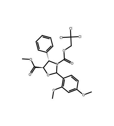 COC(=O)[C@@H]1OC(c2ccc(OC)cc2OC)N(C(=O)OCC(Cl)(Cl)Cl)[C@H]1c1ccccc1